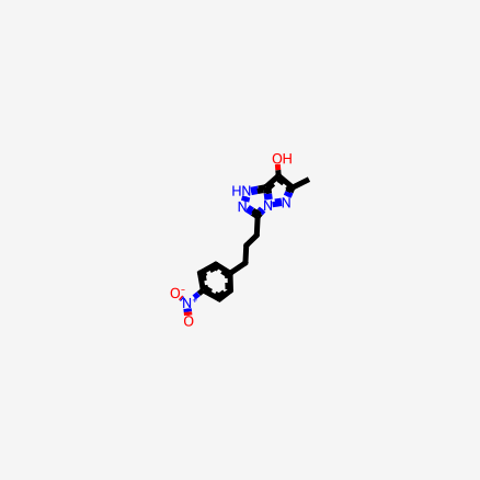 Cc1nn2c(CCCc3ccc([N+](=O)[O-])cc3)n[nH]c2c1O